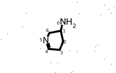 NC1CCC=NC1